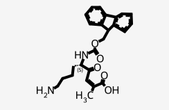 CC(=CC(=O)[C@H](CCCCN)NC(=O)OCC1c2ccccc2-c2ccccc21)C(=O)O